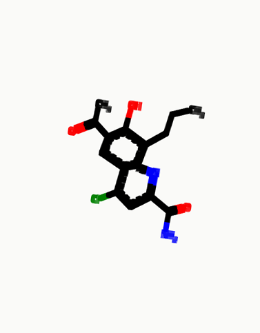 CCCc1c(O)c(C(C)=O)cc2c(Cl)cc(C(N)=O)nc12